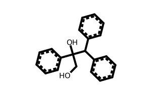 OCC(O)(c1ccccc1)C(c1ccccc1)c1ccccc1